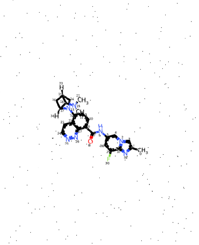 Cc1cn2cc(NC(=O)c3ccc(N4C[C@H]5C[C@@H]4C5N(C)C)c4ccnnc34)cc(F)c2n1